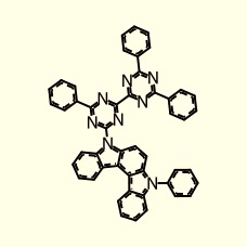 c1ccc(-c2nc(-c3ccccc3)nc(-c3nc(-c4ccccc4)nc(-n4c5ccccc5c5c6c7ccccc7n(-c7ccccc7)c6ccc54)n3)n2)cc1